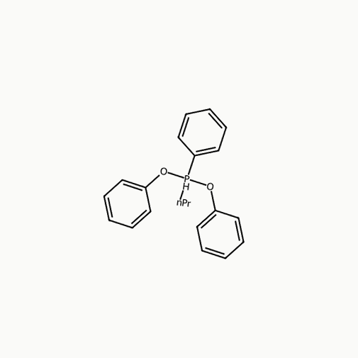 CCC[PH](Oc1ccccc1)(Oc1ccccc1)c1ccccc1